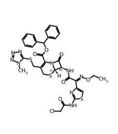 CCON=C(C(=O)N[C@@H]1C(=O)N2C(C(=O)OC(c3ccccc3)c3ccccc3)=C(CSc3nnnn3C)CS[C@@H]12)c1csc(NC(=O)CCl)n1